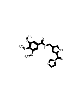 COc1cc(C(=O)NCC2CNC(C(=O)N3CCSC3)C2)cc(OC)c1OC